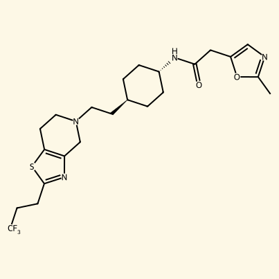 Cc1ncc(CC(=O)N[C@H]2CC[C@H](CCN3CCc4sc(CCC(F)(F)F)nc4C3)CC2)o1